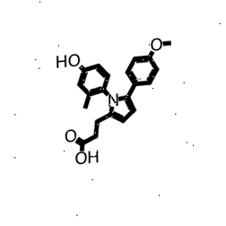 COc1ccc(-c2ccc(CCC(=O)O)n2-c2ccc(O)cc2C)cc1